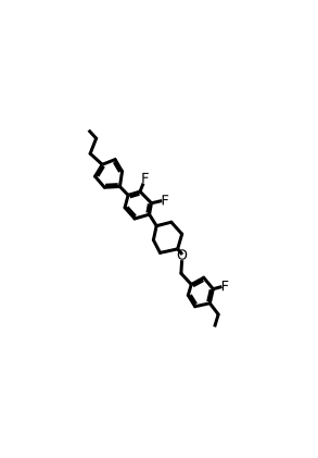 CCCc1ccc(-c2ccc(C3CCC(OCc4ccc(CC)c(F)c4)CC3)c(F)c2F)cc1